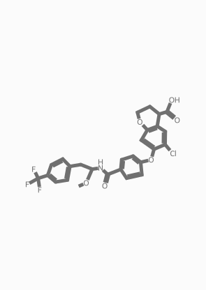 COC(Cc1ccc(C(F)(F)F)cc1)NC(=O)c1ccc(Oc2cc3c(cc2Cl)C(C(=O)O)CCO3)cc1